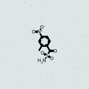 Cc1cc([N+](=O)[O-])ccc1C(=O)S(N)(=O)=O